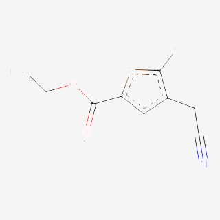 CCOC(=O)c1cc(CC#N)c(C)s1